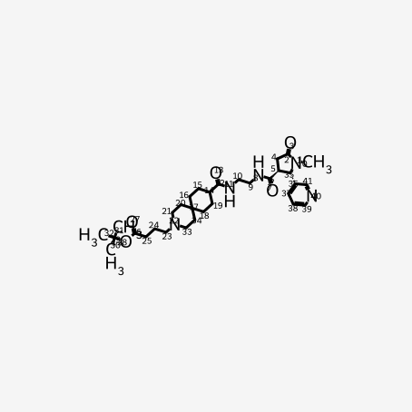 CN1C(=O)C[C@H](C(=O)NCCNC(=O)C2CCC3(CC2)CCN(CCCC(=O)OC(C)(C)C)CC3)[C@H]1c1cccnc1